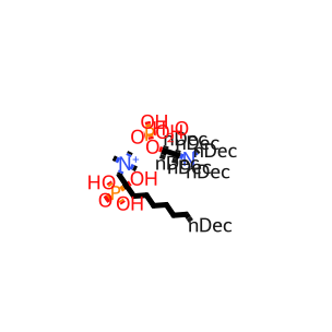 CCCCCCCCCCCCCCCCC(O)(C[N+](C)(C)C)P(=O)(O)O.CCCCCCCCCCN(CCCCCCCCCC)C(CCCCCCCCCC)(CCCCCCCCCC)C(CCCCCCCCCC)(CCCCCCCCCC)OP(=O)(O)O.O